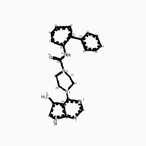 Cc1c[nH]c2ncnc(N3CCN(C(=O)Nc4ccccc4-c4ccccc4)CC3)c12